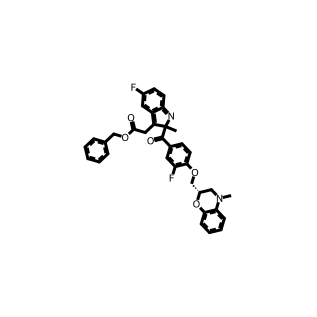 CN1C[C@@H](COc2ccc(C(=O)C3(C)N=c4ccc(F)cc4=C3CC(=O)OCc3ccccc3)cc2F)Oc2ccccc21